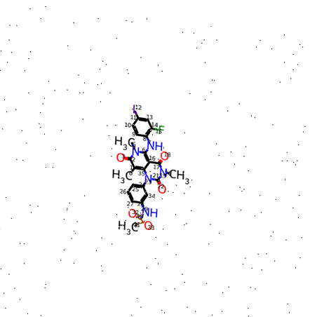 Cc1c(=O)n(C)c(Nc2ccc(I)cc2F)c2c(=O)n(C)c(=O)n(-c3cccc(NS(C)(=O)=O)c3)c12